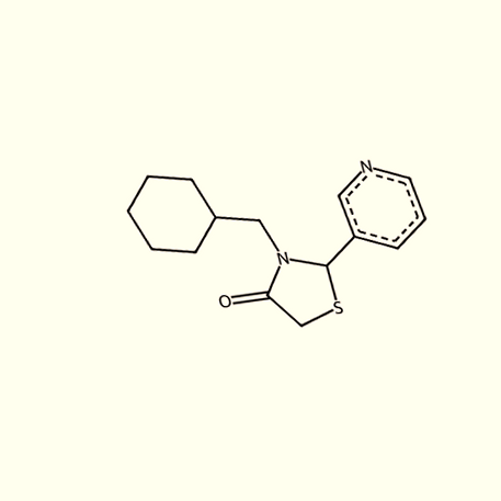 O=C1CSC(c2cccnc2)N1CC1CCCCC1